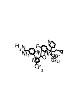 CC(C)(C)[S@@+]([O-])NC(CCC1CC1)(c1cccnc1)c1ccc(F)c(NC(=O)c2cc(C(F)(F)F)nn2-c2cccc(C(=N)N)c2)c1